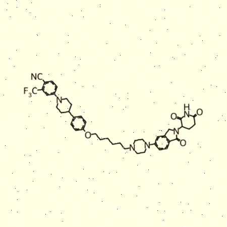 N#Cc1ccc(N2CCC(c3ccc(OCCCCCCN4CCN(c5ccc6c(c5)CN(C5CCC(=O)NC5=O)C6=O)CC4)cc3)CC2)cc1C(F)(F)F